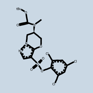 CN(C(=O)OC(C)(C)C)[C@H]1COc2c(S(=O)(=O)Oc3c(Cl)cc(Cl)cc3Cl)cnn2C1